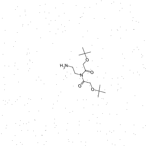 CC(C)(C)OCC(=O)N(CCN)C(=O)COC(C)(C)C